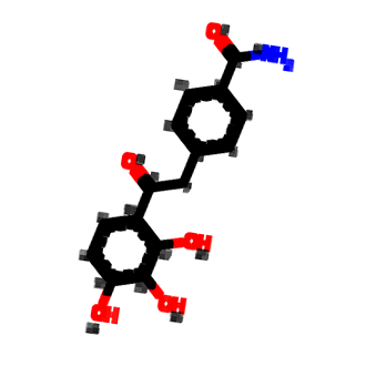 NC(=O)c1ccc(CC(=O)c2ccc(O)c(O)c2O)cc1